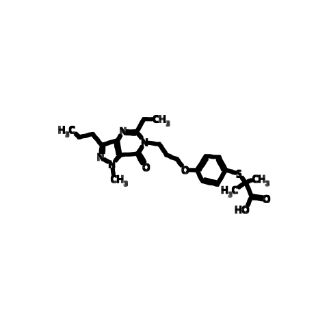 CCCc1nn(C)c2c(=O)n(CCCOc3ccc(SC(C)(C)C(=O)O)cc3)c(CC)nc12